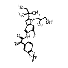 CC(C)(CO)c1cc2cc(NC(=O)C3(c4ccc5c(c4)OC(F)(F)O5)CC3)c(F)cc2n1CC(O)CO